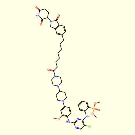 COc1cc(N2CCC(N3CCN(C(=O)CCCCCCCc4ccc5c(c4)CN(C4CCC(=O)NC4=O)C5=O)CC3)CC2)ccc1Nc1ncc(Cl)c(Nc2ccccc2P(=O)(OC)OC)n1